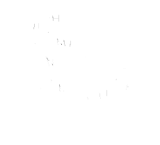 [2H]C([2H])([2H])Nc1nc(=O)n(-c2ccccc2C)c2cc(C(F)(F)F)ccc12